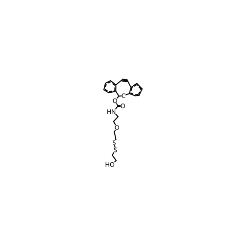 O=C(NCCOCCSSCCO)OC1Cc2ccccc2C#Cc2ccccc21